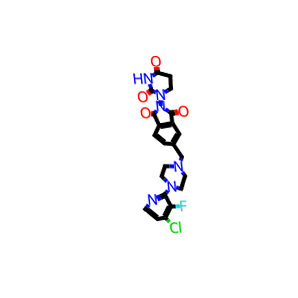 O=C1CCN(N2C(=O)c3ccc(CN4CCN(c5nccc(Cl)c5F)CC4)cc3C2=O)C(=O)N1